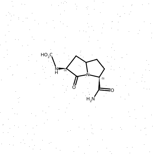 NC(=O)[C@@H]1CCC2C[C@H](NC(=O)O)C(=O)N21